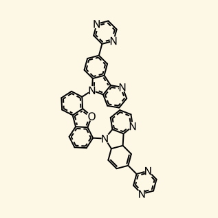 C1=CC2C(C=C1c1cnccn1)c1ncccc1N2c1cccc2c1oc1c(-n3c4ccc(-c5cnccn5)cc4c4ncccc43)cccc12